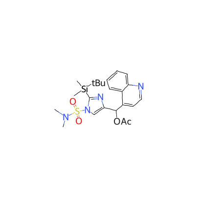 CC(=O)OC(c1cn(S(=O)(=O)N(C)C)c([Si](C)(C)C(C)(C)C)n1)c1ccnc2ccccc12